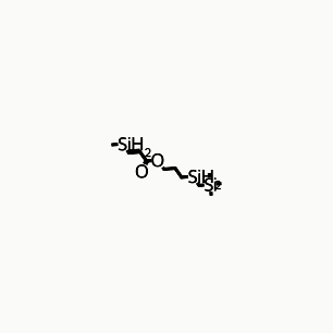 C[SiH2]C=CC(=O)OCCC[SiH2]C[Si](C)(C)C